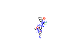 C=CC(=O)Nc1cc(Nc2ncc(Cl)c(Nc3ccc4ccccc4c3P(C)(C)=O)n2)ccc1N1CCC2(CC1)CC(N(C)C)C2